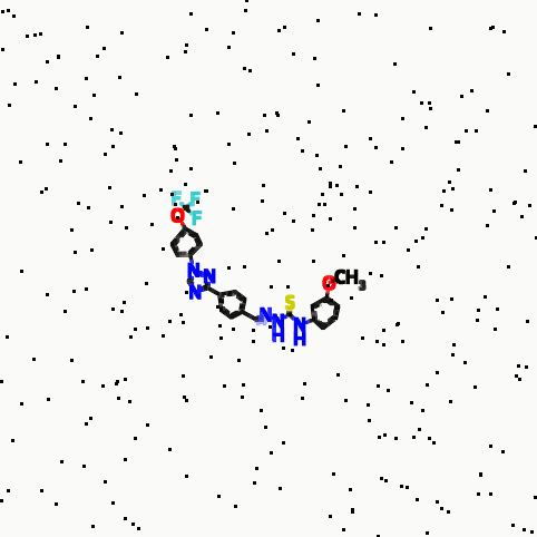 COc1cccc(NC(=S)N/N=C/c2ccc(-c3ncn(-c4ccc(OC(F)(F)F)cc4)n3)cc2)c1